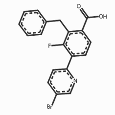 O=C(O)c1ccc(-c2ccc(Br)cn2)c(F)c1Cc1ccccc1